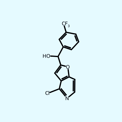 OC(c1cccc(C(F)(F)F)c1)c1cc2c(Cl)nccc2o1